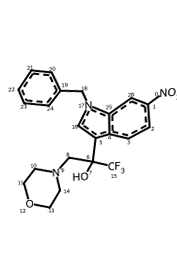 O=[N+]([O-])c1ccc2c(C(O)(CN3CCOCC3)C(F)(F)F)cn(Cc3ccccc3)c2c1